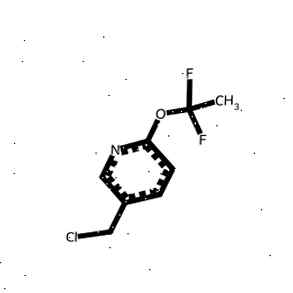 CC(F)(F)Oc1ccc(CCl)cn1